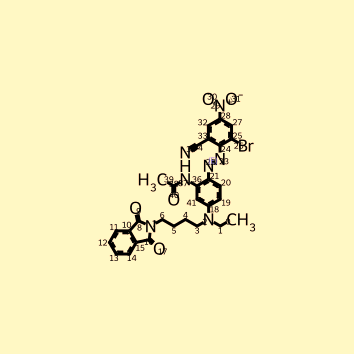 CCN(CCCCN1C(=O)c2ccccc2C1=O)c1ccc(/N=N/c2c(Br)cc([N+](=O)[O-])cc2C#N)c(NC(C)=O)c1